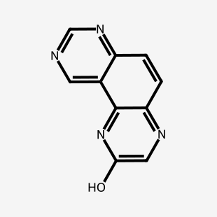 Oc1cnc2ccc3ncncc3c2n1